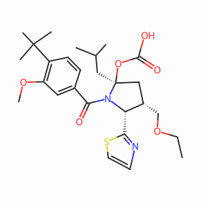 CCOC[C@H]1C[C@](CC(C)C)(OC(=O)O)N(C(=O)c2ccc(C(C)(C)C)c(OC)c2)[C@H]1c1nccs1